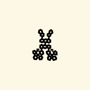 CN1c2ccccc2C(c2ccccc2)(c2ccccc2)c2cccc(-c3cccc4c(-c5c6cccc(-c7ccc8ccccc8c7)c6cc6c(-c7ccc8ccccc8c7)cccc56)c5cccc(-c6cccc7c6N(C)c6ccccc6C7(c6ccccc6)c6ccccc6)c5cc34)c21